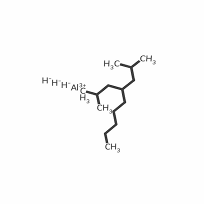 CCCCCC(CC(C)C)CC(C)C.[Al+3].[H-].[H-].[H-]